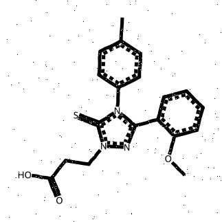 COc1ccccc1-c1nn(CCC(=O)O)c(=S)n1-c1ccc(C)cc1